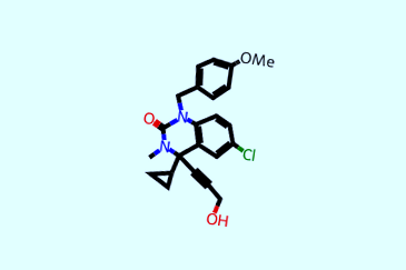 COc1ccc(CN2C(=O)N(C)C(C#CCO)(C3CC3)c3cc(Cl)ccc32)cc1